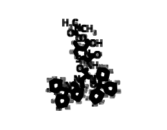 CN(C)C(=O)OCC1=C(C(=O)O)N2C(=O)C(NC(=O)C(=NOC(c3ccccc3)(c3ccccc3)c3ccccc3)c3csc(NC(c4ccccc4)(c4ccccc4)c4ccccc4)n3)[C@@H]2SC1